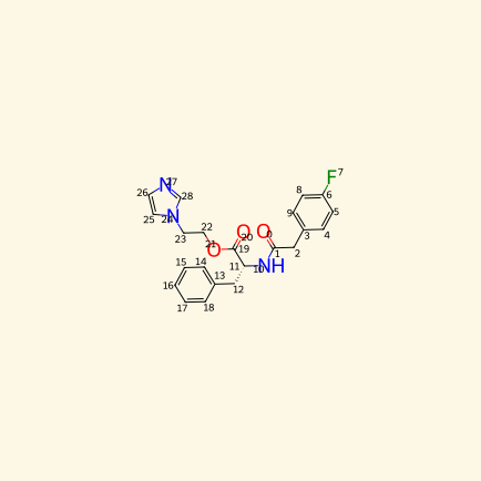 O=C(Cc1ccc(F)cc1)N[C@H](Cc1ccccc1)C(=O)OCCn1ccnc1